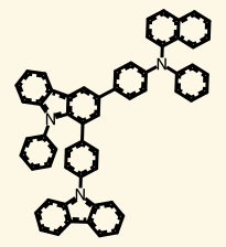 c1ccc(N(c2ccc(-c3cc(-c4ccc(-n5c6ccccc6c6ccccc65)cc4)c4c(c3)c3ccccc3n4-c3ccccc3)cc2)c2cccc3ccccc23)cc1